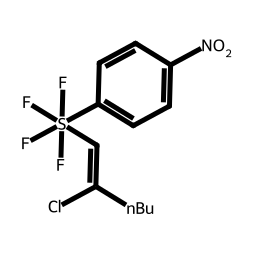 CCCCC(Cl)=CS(F)(F)(F)(F)c1ccc([N+](=O)[O-])cc1